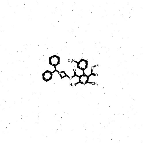 Cc1nc(N)c(C(=O)OC2CN(C(c3ccccc3)c3ccccc3)C2)c(-c2cccc([N+](=O)[O-])c2)c1C(=O)OC(C)C